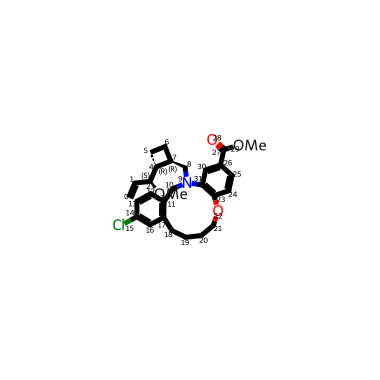 C=C[C@H](OC)[C@@H]1CC[C@H]1CN1Cc2ccc(Cl)cc2CCCCOc2ccc(C(=O)OC)cc21